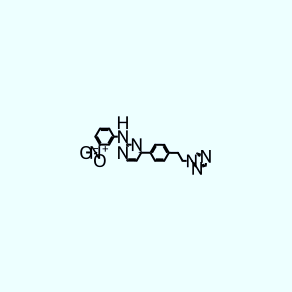 O=[N+]([O-])c1cccc(Nc2nccc(-c3ccc(CCn4cncn4)cc3)n2)c1